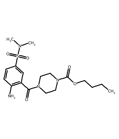 CCCCOC(=O)N1CCN(C(=O)c2cc(S(=O)(=O)N(C)C)ccc2N)CC1